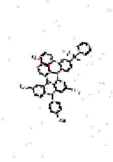 Cc1cc2c3c(c1)N(c1ccc(C(C)(C)c4ccccc4)cc1-c1ccccc1)c1cc(C(C)(C)C)ccc1B3c1cc(C(C)(C)C)ccc1N2c1ccc(C(C)(C)C)cc1